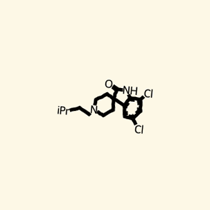 CC(C)CCN1CCC2(CC1)C(=O)Nc1c(Cl)cc(Cl)cc12